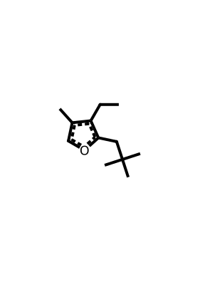 CCc1c(C)coc1CC(C)(C)C